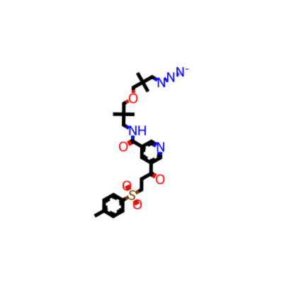 Cc1ccc(S(=O)(=O)CCC(=O)c2cncc(C(=O)NCC(C)(C)COCC(C)(C)CN=[N+]=[N-])c2)cc1